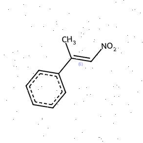 C/C(=C\[N+](=O)[O-])c1ccccc1